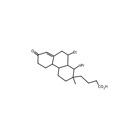 CCCC1C2C(CC)CC3=CC(=O)CCC3C2CCC1(C)CCCC(=O)O